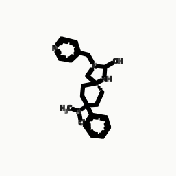 CN(C)[C@]1(c2ccccc2)CC[C@]2(CC1)CN(Cc1ccncc1)C(O)N2